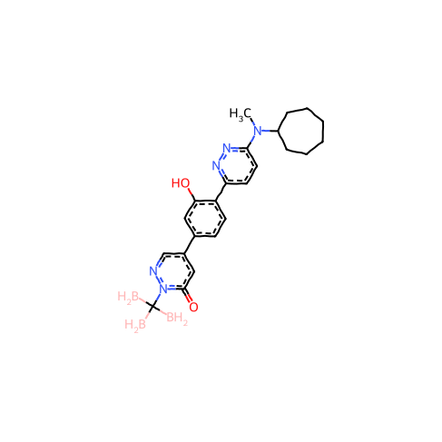 BC(B)(B)n1ncc(-c2ccc(-c3ccc(N(C)C4CCCCCC4)nn3)c(O)c2)cc1=O